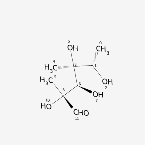 C[C@H](O)[C@](C)(O)[C@@H](O)[C@@](C)(O)C=O